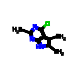 Bc1nc(Cl)c2c(B)c(B)[nH]c2n1